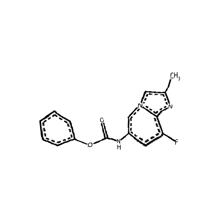 Cc1cn2cc(NC(=O)Oc3ccccc3)cc(F)c2n1